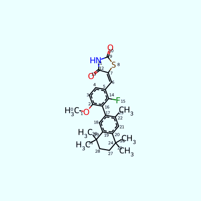 COc1ccc(/C=C2/SC(=O)NC2=O)c(F)c1-c1cc2c(cc1C)C(C)(C)CCC2(C)C